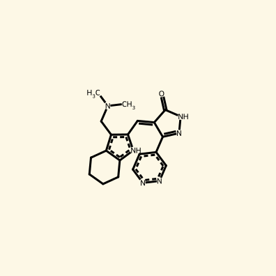 CN(C)Cc1c(/C=C2/C(=O)NN=C2c2ccnnc2)[nH]c2c1CCCC2